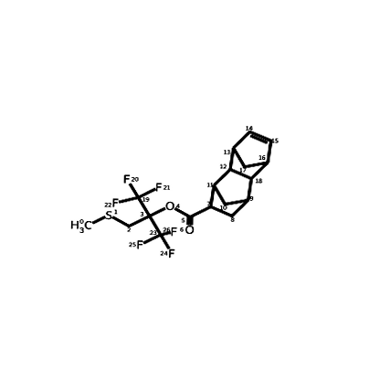 CSCC(OC(=O)C1CC2CC1C1C3C=CC(C3)C21)(C(F)(F)F)C(F)(F)F